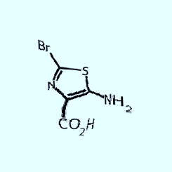 Nc1sc(Br)nc1C(=O)O